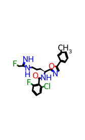 Cc1cccc(-c2cnc([C@H](CCCNC(=N)CF)NC(=O)c3c(F)cccc3Cl)o2)c1